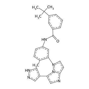 Cc1ccc(NC(=O)c2cccc(C(C)(C)C)c2)cc1-n1ccc2ncc(-c3cn[nH]c3)n21